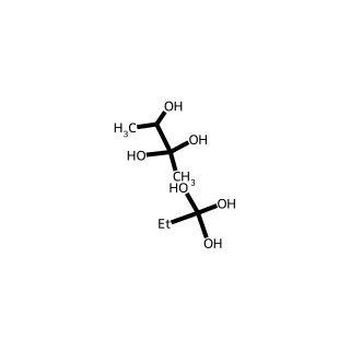 CC(O)C(C)(O)O.CCC(O)(O)O